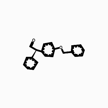 O=C[C@H](c1ccccc1)c1ccc(OCc2ccccc2)cc1